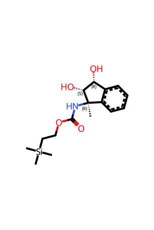 C[C@@]1(NC(=O)OCC[Si](C)(C)C)c2ccccc2[C@@H](O)[C@H]1O